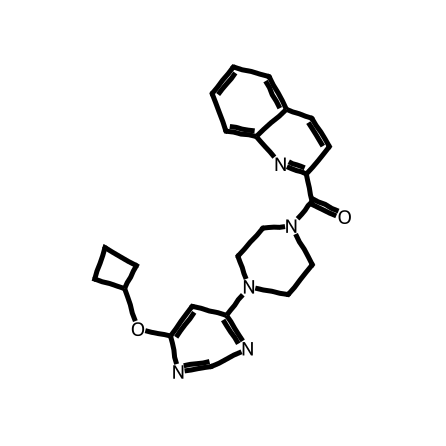 O=C(c1ccc2ccccc2n1)N1CCN(c2cc(OC3CCC3)ncn2)CC1